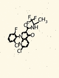 CCC(NC(=O)c1cn(-c2c(F)cccc2Cl)c2nc(Cl)ccc2c1=O)C(F)(F)F